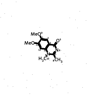 COc1cc2c(=O)nc(C)n(C)c2cc1OC